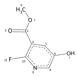 COC(=O)c1cc(O)cnc1F